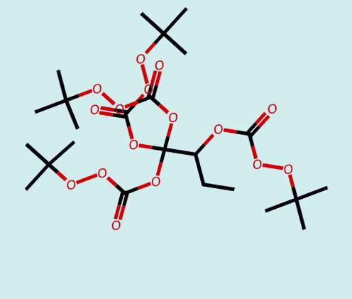 CCC(OC(=O)OOC(C)(C)C)C(OC(=O)OOC(C)(C)C)(OC(=O)OOC(C)(C)C)OC(=O)OOC(C)(C)C